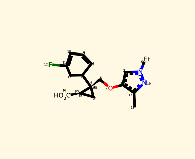 CCn1cc(OC[C@@]2(C3C=CC=C(F)C3)C[C@H]2C(=O)O)c(C)n1